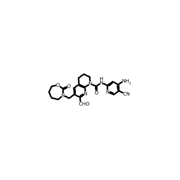 N#Cc1cnc(NC(=O)N2CCCc3cc(CN4CCCCOC4=O)c(C=O)nc32)cc1N